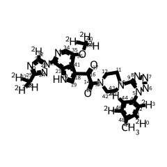 [2H]c1c([2H])c(-n2nnnc2N2CCN(C(=O)C(=O)c3c[nH]c4c(-n5nc(C([2H])([2H])[2H])nc5[2H])ncc(OC([2H])([2H])[2H])c34)CC2)c([2H])c([2H])c1C